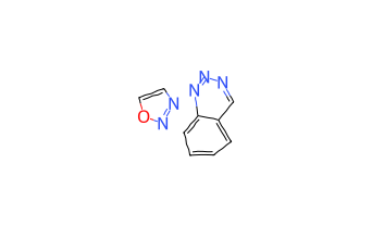 c1ccc2nnncc2c1.c1conn1